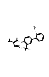 CCOc1ccccc1-c1ccc(-n2c(C)cc(C(=O)O)c2C)c(C(F)(F)F)c1